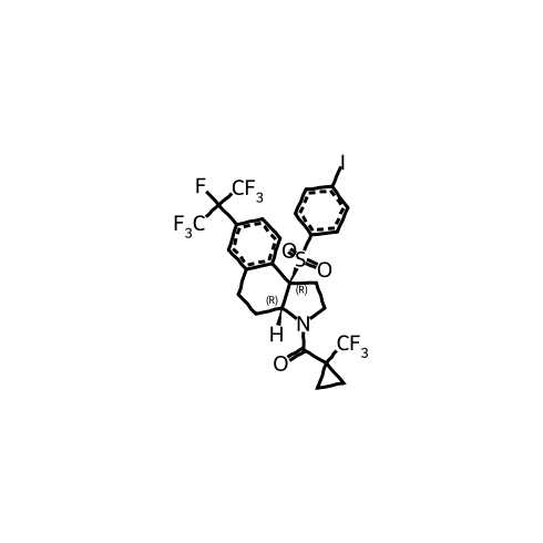 O=C(N1CC[C@@]2(S(=O)(=O)c3ccc(I)cc3)c3ccc(C(F)(C(F)(F)F)C(F)(F)F)cc3CC[C@@H]12)C1(C(F)(F)F)CC1